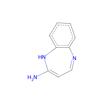 NC1=CC=Nc2ccccc2N1